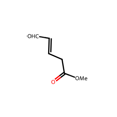 COC(=O)CC=C[C]=O